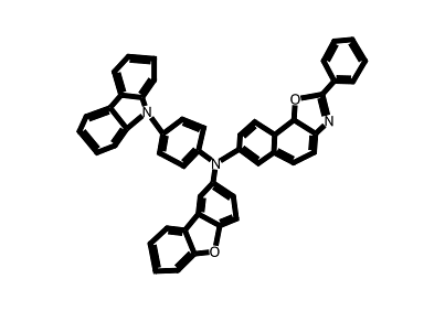 C1=CC2C(=CC=C3N=C(c4ccccc4)OC32)C=C1N(c1ccc(-n2c3ccccc3c3ccccc32)cc1)c1ccc2oc3ccccc3c2c1